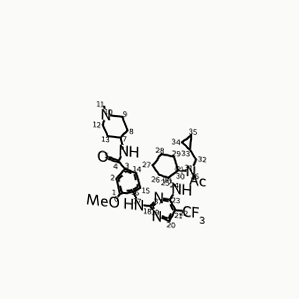 COc1cc(C(=O)NC2CCN(C)CC2)ccc1Nc1ncc(C(F)(F)F)c(N[C@@H]2CCCC[C@H]2N(CC2CC2)C(C)=O)n1